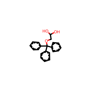 OC(O)COC(c1ccccc1)(c1ccccc1)c1ccccc1